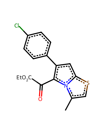 CCOC(=O)C(=O)c1c(-c2ccc(Cl)cc2)cc2scc(C)n12